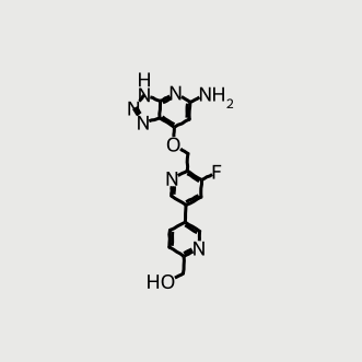 Nc1cc(OCc2ncc(-c3ccc(CO)nc3)cc2F)c2nn[nH]c2n1